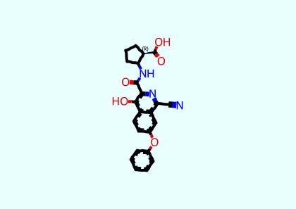 N#Cc1nc(C(=O)NC2CCC[C@H]2C(=O)O)c(O)c2ccc(Oc3ccccc3)cc12